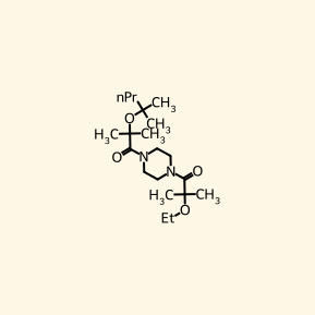 CCCC(C)(C)OC(C)(C)C(=O)N1CCN(C(=O)C(C)(C)OCC)CC1